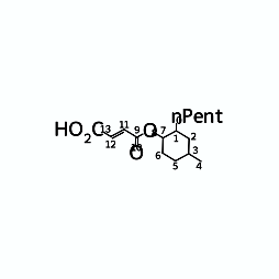 CCCCCC1CC(C)CCC1OC(=O)C=CC(=O)O